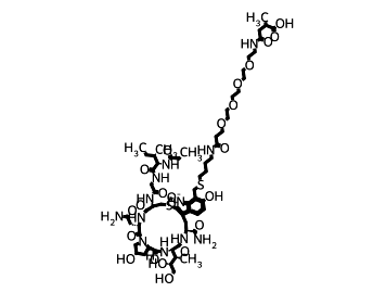 CCC(=O)N[C@H](C(=O)NCC(=O)N[C@H]1C[S+]([O-])c2[nH]c3c(CSCCCCNC(=O)CCOCCOCCOCCOCCNC(=O)CC(C)C(=O)O)c(O)ccc3c2C[C@@H](C(N)=O)NC(=O)[C@H]([C@@H](C)[C@@H](O)CO)NC(=O)[C@@H]2C[C@@H](O)CN2C(=O)[C@H](CC(N)=O)NC1=O)[C@@H](C)CC